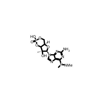 CNN(C)c1nc(N)nc2c1ncn2[C@@H]1O[C@@H]2COP(=O)(O)OC2[C@]1(C)O